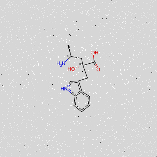 C[C@H](N)C[C@](O)(Cc1c[nH]c2ccccc12)C(=O)O